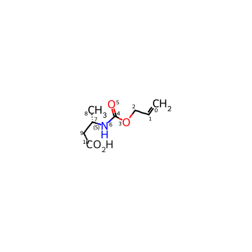 C=CCOC(=O)N[C@@H](C)CC(=O)O